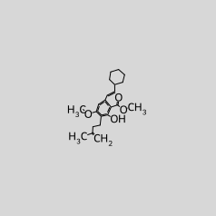 C=C(C)CCc1c(OC)cc(C=CC2CCCCC2)c(C(=O)OC)c1O